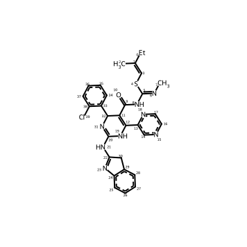 CC/C(C)=C/S/C(=N\C)NC(=O)C1=C(c2cnccn2)NC(NC2=Nc3ccccc3C2)=NC1c1ccccc1Cl